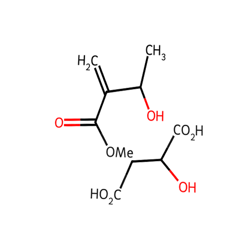 C=C(C(=O)OC)C(C)O.O=C(O)CC(O)C(=O)O